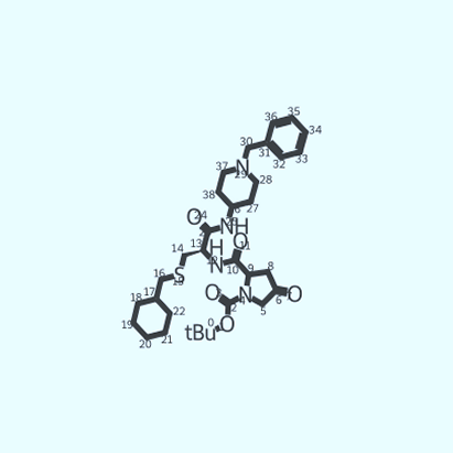 CC(C)(C)OC(=O)N1CC(=O)CC1C(=O)N[C@@H](CSCC1CCCCC1)C(=O)NC1CCN(Cc2ccccc2)CC1